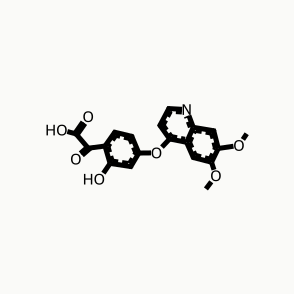 COc1cc2nccc(Oc3ccc(C(=O)C(=O)O)c(O)c3)c2cc1OC